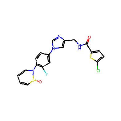 O=C(NCc1cn(-c2ccc(N3C=CC=C[S+]3[O-])c(F)c2)cn1)c1ccc(Cl)s1